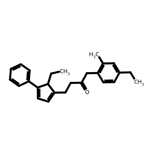 CCc1ccc(CC(=O)CCC2=CC=C(c3ccccc3)C2CC)c(C)c1